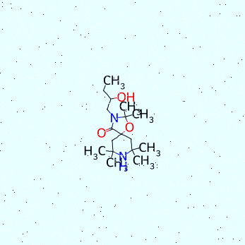 CCC(O)CN1C(=O)C2(CC(C)(C)NC(C)(C)C2)OC1(C)C